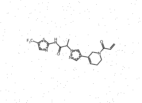 C=CC(=O)N1CCC=C(c2cnn(C(C)C(=O)Nc3ncc(C(F)(F)F)s3)c2)C1